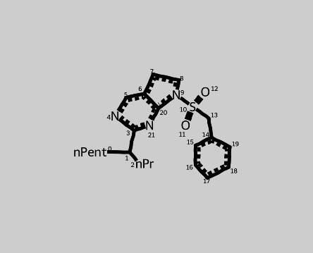 CCCCCC(CCC)c1ncc2ccn(S(=O)(=O)Cc3ccccc3)c2n1